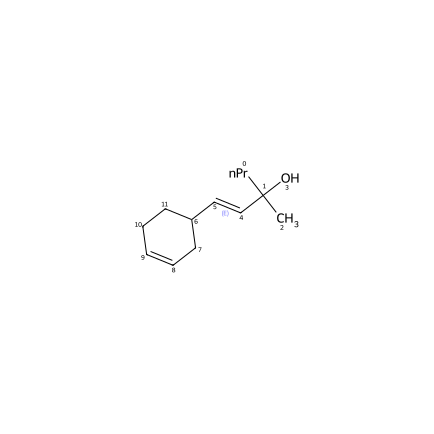 CCCC(C)(O)/C=C/C1CC=CCC1